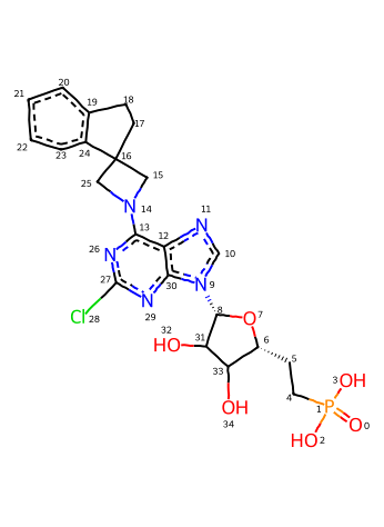 O=P(O)(O)CC[C@H]1O[C@@H](n2cnc3c(N4CC5(CCc6ccccc65)C4)nc(Cl)nc32)C(O)C1O